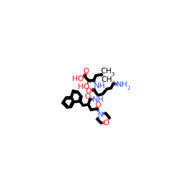 CC(C)CC(NC(=O)C(CCCCN)NC(=O)C(CC(=O)N1CCOCC1)Cc1cccc2ccccc12)[C@H](O)C(=O)O